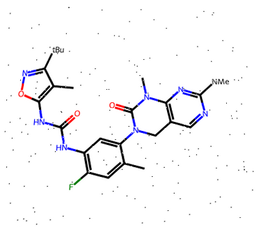 CNc1ncc2c(n1)N(C)C(=O)N(c1cc(NC(=O)Nc3onc(C(C)(C)C)c3C)c(F)cc1C)C2